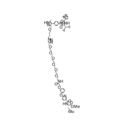 COC(=O)[C@H](CCC(C)(C)C)NC(=O)c1ccc(Oc2cccc(OCC(=O)NCCOCCOCCOCCOCCOCCOCc3cn(CCCCOCc4n[nH]c(C)c4-c4ccc(NC(=O)[C@@H](NC(=O)c5ccnn5C)C(C5CC5)C5CC5)cc4)nn3)c2)nc1